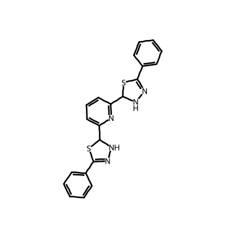 c1ccc(C2=NNC(c3cccc(C4NN=C(c5ccccc5)S4)n3)S2)cc1